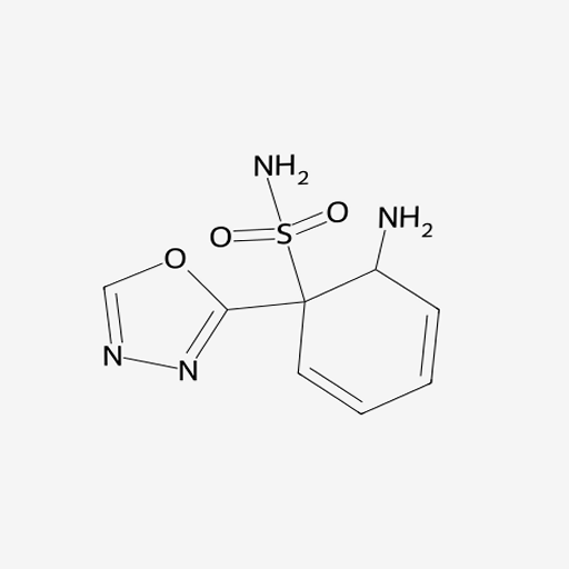 NC1C=CC=CC1(c1nnco1)S(N)(=O)=O